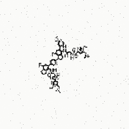 CCn1nc(S(=O)(=O)NCC(=O)Nc2c(-c3ccnc(OC)c3)cc(F)c3c2CCC3c2ccc(-c3cc(F)c4c(c3NC(=O)NS(=O)(=O)c3cc(CN(C)C)n(CC)n3)CCC4)cn2)cc1CN(C)C